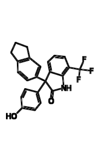 O=C1Nc2c(C(F)(F)F)cccc2C1(c1ccc(O)cc1)c1ccc2c(c1)CCC2